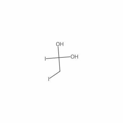 OC(O)(I)CI